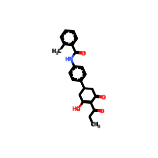 CCC(=O)C1=C(O)CC(c2ccc(NC(=O)c3ccccc3C)cc2)CC1=O